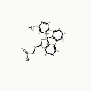 O=C(O)CCCC[P+](c1ccccc1)(c1ccccc1)c1ccccc1.[OH-]